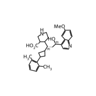 COc1ccc2nccc([C@H](O)C[C@H](C3CC(c4c(C)cccc4C)C3)C3CCNCC3C(=O)O)c2c1